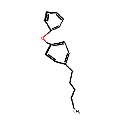 CCCC[CH]c1ccc(Oc2ccccc2)cc1